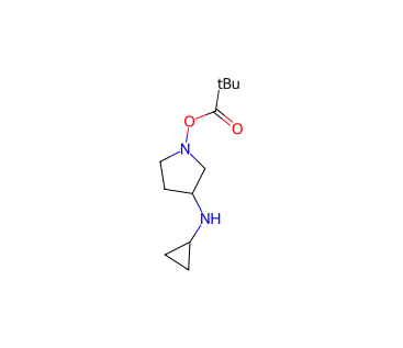 CC(C)(C)C(=O)ON1CCC(NC2CC2)C1